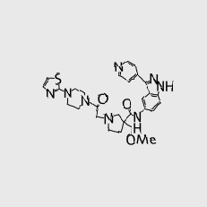 COCC1(C(=O)Nc2ccc3[nH]nc(-c4ccncc4)c3c2)CCN(CC(=O)N2CCN(c3nccs3)CC2)C1